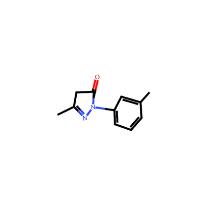 CC1=NN(c2cccc(C)c2)C(=O)C1